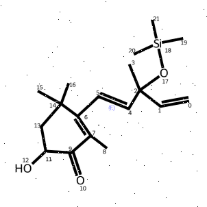 C=CC(C)(/C=C/C1=C(C)C(=O)C(O)CC1(C)C)O[Si](C)(C)C